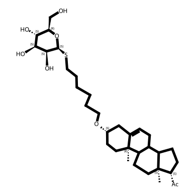 CC(=O)[C@H]1CCC2C3CC=C4C[C@@H](OCCCCCCS[C@@H]5O[C@H](CO)[C@@H](O)[C@H](O)[C@@H]5O)CC[C@]4(C)C3CC[C@@]21C